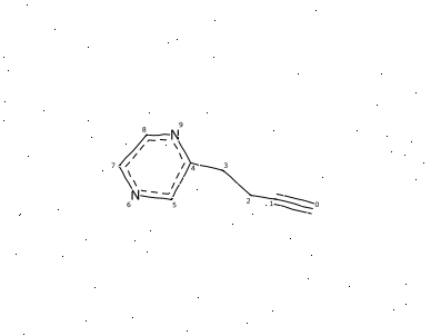 C#CCCc1cnccn1